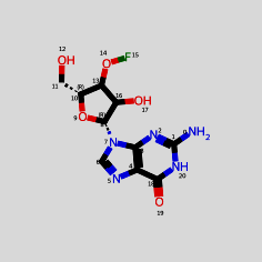 Nc1nc2c(ncn2[C@@H]2O[C@H](CO)C(OF)C2O)c(=O)[nH]1